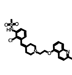 Cc1ccc2c(OCCN3CCC(=Cc4cccc(NS(C)(=O)=O)c4Cl)CC3)cccc2n1